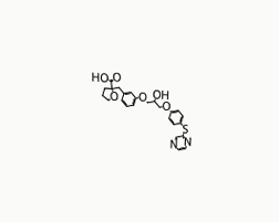 O=C(O)C1(Cc2cccc(OCC(O)COc3ccc(Sc4cnccn4)cc3)c2)CCCO1